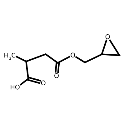 CC(CC(=O)OCC1CO1)C(=O)O